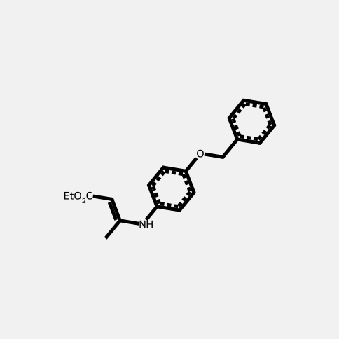 CCOC(=O)C=C(C)Nc1ccc(OCc2ccccc2)cc1